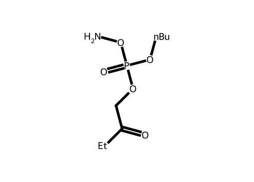 CCCCOP(=O)(ON)OCC(=O)CC